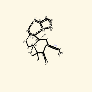 CC1(C)C(=O)/C(=C\O)C[C@]2(C)c3c(cnc4ccnn34)CC[C@@H]12